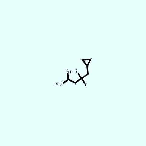 CCOC(=O)C(N)CC(F)(F)CC1CC1